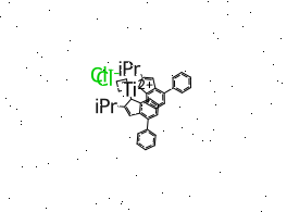 CC(C)C1=Cc2c(-c3ccccc3)cccc2[CH]1[Ti+2]1([CH]2C(C(C)C)=Cc3c(-c4ccccc4)cccc32)[CH2]C[CH2]1.[Cl-].[Cl-]